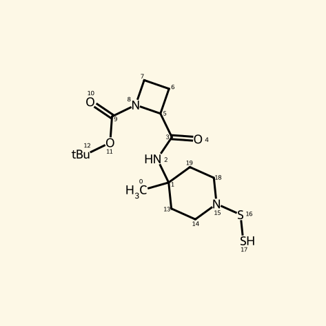 CC1(NC(=O)C2CCN2C(=O)OC(C)(C)C)CCN(SS)CC1